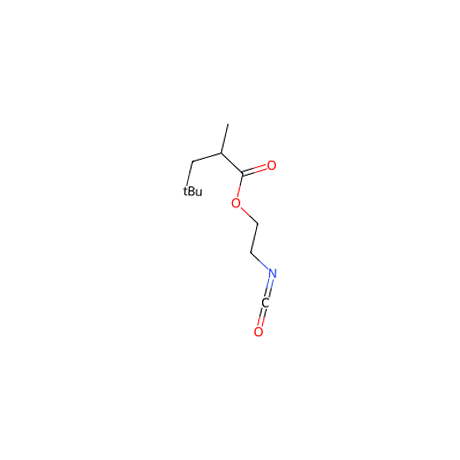 CC(CC(C)(C)C)C(=O)OCCN=C=O